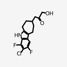 O=C(CO)CC1CCc2[nH]c3c(F)c(Cl)c(F)cc3c2CC1